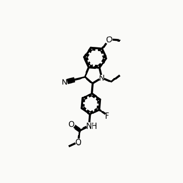 CCN1c2cc(OC)ccc2C(C#N)C1c1ccc(NC(=O)OC)c(F)c1